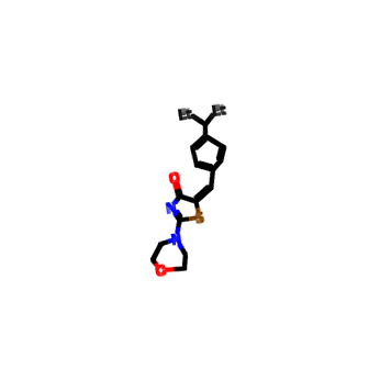 CCC(CC)c1ccc(/C=C2/SC(N3CCOCC3)=NC2=O)cc1